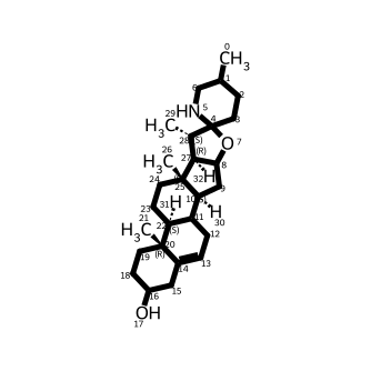 CC1CCC2(NC1)OC1C[C@H]3C4CC=C5CC(O)CC[C@]5(C)[C@H]4CC[C@]3(C)[C@H]1[C@@H]2C